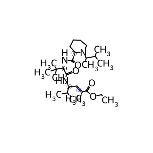 CCOC(=O)/C(C)=C/[C@@H](NC(=O)[C@@H](NC(=O)[C@H]1CCCCN1C(C)C(C)C)C(C)(C)C)C(C)C